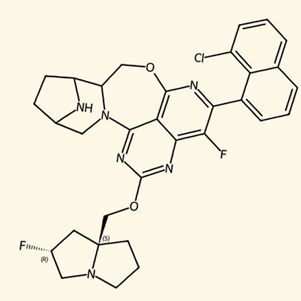 Fc1c(-c2cccc3cccc(Cl)c23)nc2c3c(nc(OC[C@@]45CCCN4C[C@H](F)C5)nc13)N1CC3CCC(N3)C1CO2